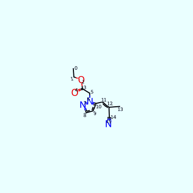 CCOC(=O)Cn1nccc1/C=C(/C)C#N